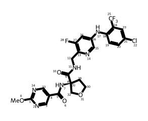 COc1ncc(C(=O)N[C@@]2(C(=O)NCc3ncc(Nc4ccc(Cl)cc4C(F)(F)F)cc3F)CCOC2)cn1